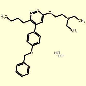 CCCCc1nnc(OCCN(CC)CC)cc1-c1ccc(OCc2ccccc2)cc1.Cl.Cl